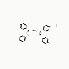 Cc1ccc(OP(=O)(OCC(C)OP(=O)(Oc2ccc(C)cc2)Oc2ccc(C)cc2)Oc2ccc(C)cc2)cc1